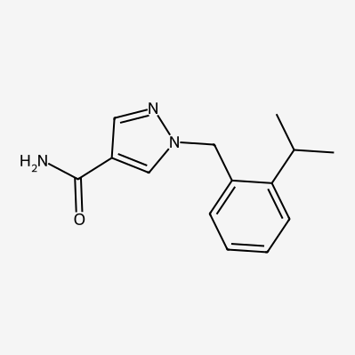 CC(C)c1ccccc1Cn1cc(C(N)=O)cn1